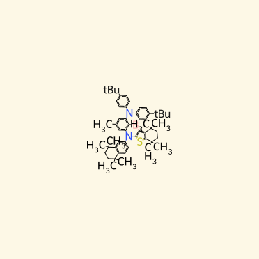 Cc1cc2c3c(c1)N(c1ccc4c(c1)C(C)(C)CCC4(C)C)c1sc4c(c1B3c1cc(C(C)(C)C)ccc1N2c1ccc(C(C)(C)C)cc1)C(C)(C)CCC4(C)C